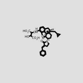 O=C(O)C(O)C(O)C(=O)O.O=C1C(=Cc2ccccc2)CCN1[C@H]1CC[C@@]2(O)[C@H]3Cc4ccc(O)c5c4[C@@]2(CCN3CC2CC2)[C@H]1O5